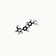 CC(C)c1cc(Oc2c(Cl)cc(-n3nc(C=O)c(=O)[nH]c3=O)cc2Cl)c[nH]c1=O